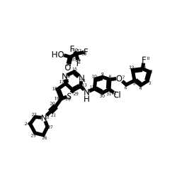 Fc1cccc(COc2ccc(Nc3ncnc4cc(C#CN5CCCCC5)sc34)cc2Cl)c1.O=C(O)C(F)(F)F